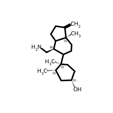 C=C1CCC2[C@H](CN)C([C@@]3(C)CC[C@H](O)C[C@@H]3C)CC[C@]12C